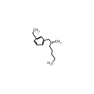 CCCCCN(C)Cc1cccc(CC)c1